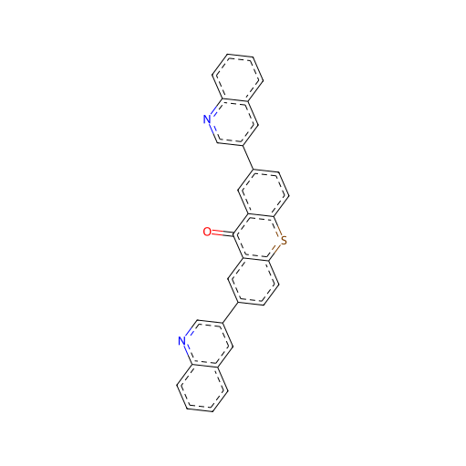 O=c1c2cc(-c3cnc4ccccc4c3)ccc2sc2ccc(-c3cnc4ccccc4c3)cc12